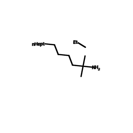 CCC.CCCCCCCCCCCC(C)(C)N